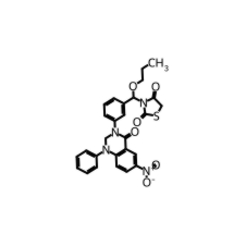 CCCOC(c1cccc(N2CN(c3ccccc3)c3ccc([N+](=O)[O-])cc3C2=O)c1)N1C(=O)CSC1=O